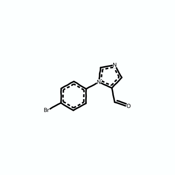 O=Cc1cncn1-c1ccc(Br)cc1